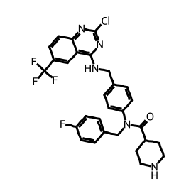 O=C(C1CCNCC1)N(Cc1ccc(F)cc1)c1ccc(CNc2nc(Cl)nc3ccc(C(F)(F)F)cc23)cc1